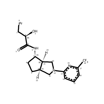 CC(C)C[C@@H](O)C(=O)N[C@H]1CC[C@@H]2CN(c3cccc(C(F)(F)F)n3)C[C@@H]21